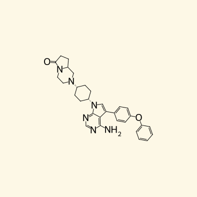 Nc1ncnc2c1c(-c1ccc(Oc3ccccc3)cc1)cn2[C@H]1CC[C@@H](N2CCN3C(=O)CCC3C2)CC1